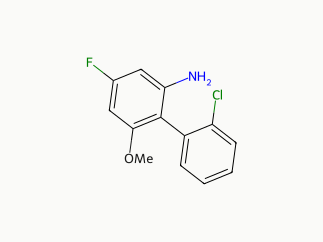 COc1cc(F)cc(N)c1-c1ccccc1Cl